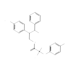 COc1ccc(C(CNC(=O)C(C)(C)Oc2ccc(Cl)cc2)C(C)c2ccccc2)cc1